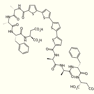 C[C@H](NC(=O)c1ccc(-c2ccc(-c3ccc(-c4ccc(C(=O)N[C@H](C)C(=O)N[C@H](C)C(=O)N[C@H](Cc5ccccc5)C(=O)N[C@H](CC(=O)O)C(=O)O)s4)s3)s2)s1)C(=O)N[C@@H](C)C(=O)N[C@@H](Cc1ccccc1)C(=O)N[C@@H](CC(=O)O)C(=O)O